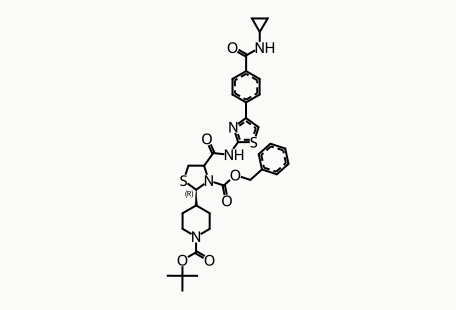 CC(C)(C)OC(=O)N1CCC([C@H]2SCC(C(=O)Nc3nc(-c4ccc(C(=O)NC5CC5)cc4)cs3)N2C(=O)OCc2ccccc2)CC1